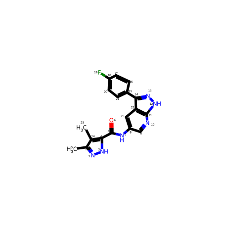 Cc1n[nH]c(C(=O)Nc2cnc3[nH]nc(-c4ccc(F)cc4)c3c2)c1C